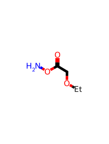 CCOCC(=O)ON